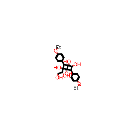 CCOc1ccc(C2C(O)[C@@]3(O)C(c4ccc(OCC)cc4)[C@@](O)([C@H](O)CO)[C@@]23O)cc1